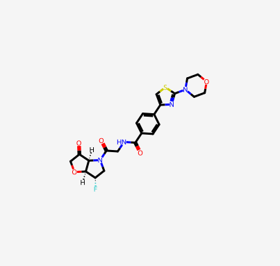 O=C(NCC(=O)N1C[C@H](F)[C@H]2OCC(=O)[C@H]21)c1ccc(-c2csc(N3CCOCC3)n2)cc1